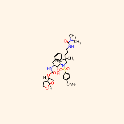 COc1ccc(S(=O)(=O)N(C[C@H](O)[C@H](Cc2ccccc2)NC(=O)O[C@H]2CO[C@H]3OCC[C@H]32)CC(C)(C)CCCNC(=O)N(C)C)cc1